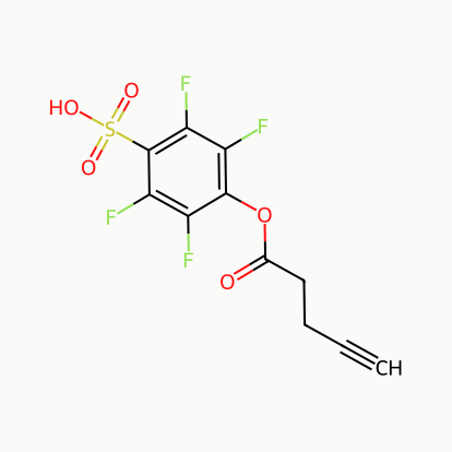 C#CCCC(=O)Oc1c(F)c(F)c(S(=O)(=O)O)c(F)c1F